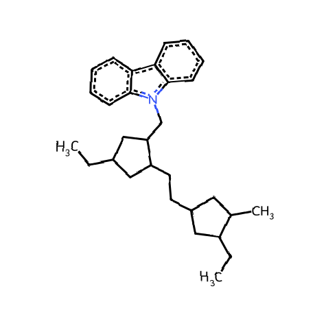 CCC1CC(CCC2CC(C)C(CC)C2)C(Cn2c3ccccc3c3ccccc32)C1